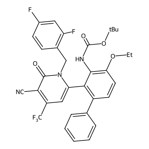 CCOc1ccc(-c2ccccc2)c(-c2cc(C(F)(F)F)c(C#N)c(=O)n2Cc2ccc(F)cc2F)c1NC(=O)OC(C)(C)C